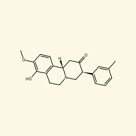 COc1ccc2c(c1O)CCN1C[C@H](c3cccc(C)c3)C(=O)C[C@@H]21